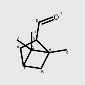 CC1(C)C2CC(C=O)C1(C)C2